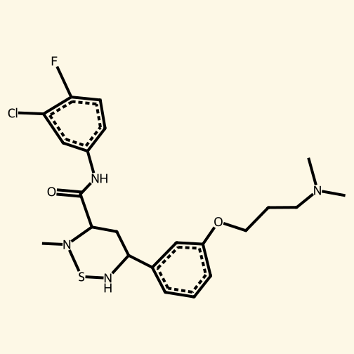 CN(C)CCCOc1cccc(C2CC(C(=O)Nc3ccc(F)c(Cl)c3)N(C)SN2)c1